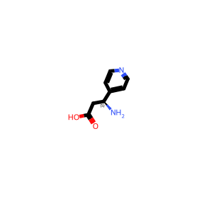 N[C@@H](CC(=O)O)c1ccncc1